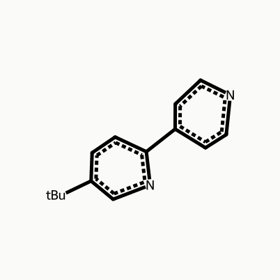 CC(C)(C)c1ccc(-c2ccncc2)nc1